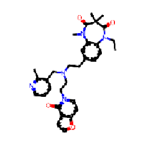 CCN1C(=O)C(C)(C)C(=O)N(C)c2cc(CCN(CCn3ccc4occc4c3=O)Cc3cccnc3C)ccc21